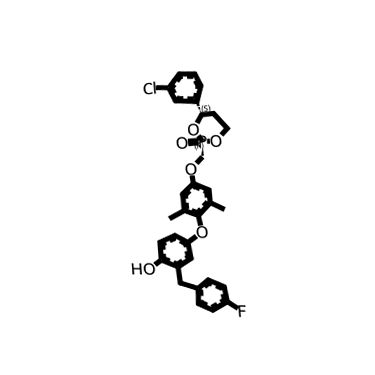 Cc1cc(OC[P@@]2(=O)OCC[C@@H](c3cccc(Cl)c3)O2)cc(C)c1Oc1ccc(O)c(Cc2ccc(F)cc2)c1